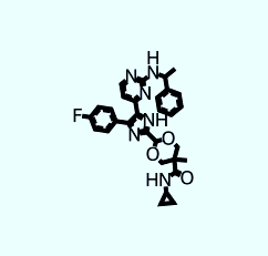 CC(Nc1nccc(-c2[nH]c(C3OCC(C)(C(=O)NC4CC4)CO3)nc2-c2ccc(F)cc2)n1)c1ccccc1